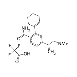 C=C(CNC)c1ccc(C(N)=O)c(C2=CCCCC2)c1.O=C(O)C(F)(F)F